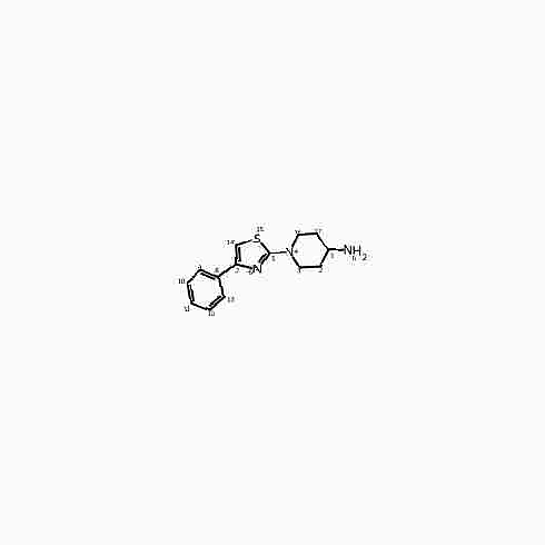 NC1CCN(c2nc(-c3ccccc3)cs2)CC1